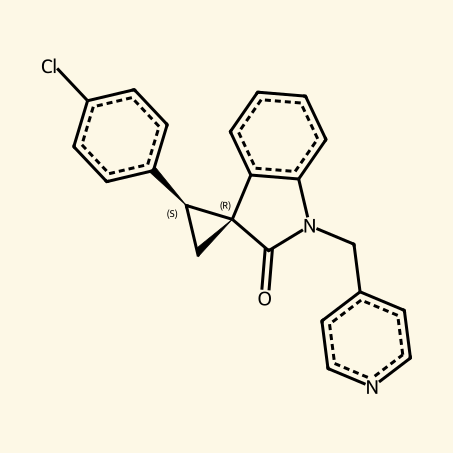 O=C1N(Cc2ccncc2)c2ccccc2[C@]12C[C@H]2c1ccc(Cl)cc1